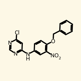 O=[N+]([O-])c1cc(Nc2cc(Cl)ncn2)ccc1OCc1ccccc1